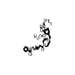 COc1ccc(CN2CCN(C(=O)CCNC(=O)c3ccccc3)CC2)c(OC)c1OC